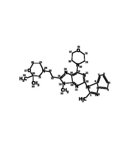 Cc1nc2ccccc2n1-c1nc(N2CCOCC2)c2nc(CCN3CCOC(C)(C)C3)n(C)c2n1